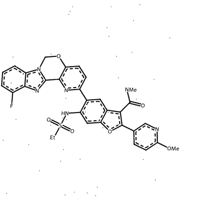 CCS(=O)(=O)Nc1cc2oc(-c3ccc(OC)nc3)c(C(=O)NC)c2cc1-c1ccc2c(n1)-c1nc3c(F)cccc3n1CO2